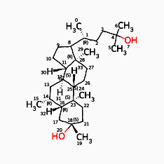 C[C@H](CCC(C)(C)O)C1CC[C@H]2[C@@H]3C[C@@H](C)[C@H]4C[C@@](C)(O)CC[C@]4(C)[C@H]3CC[C@]12C